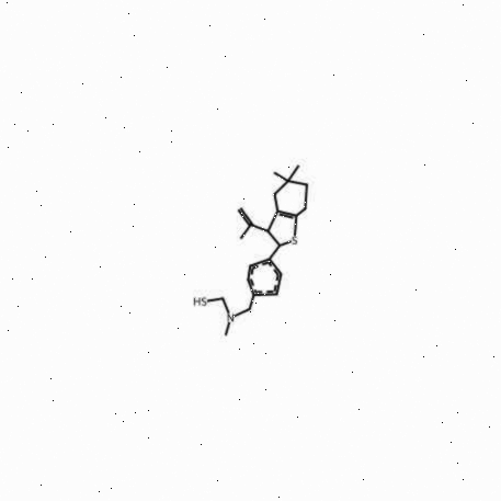 C=C(C)C1C2=C(CCC(C)(C)C2)SC1c1ccc(CN(C)CS)cc1